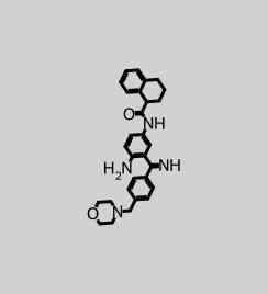 N=C(c1ccc(CN2CCOCC2)cc1)c1cc(NC(=O)C2CCCc3ccccc32)ccc1N